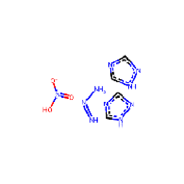 N=NN.O=[N+]([O-])O.c1nc[nH]n1.c1nc[nH]n1